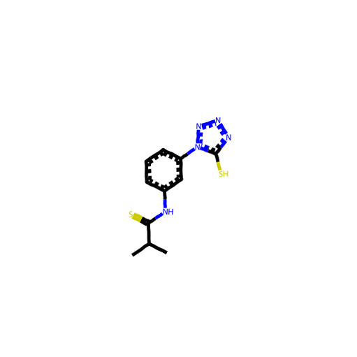 CC(C)C(=S)Nc1cccc(-n2nnnc2S)c1